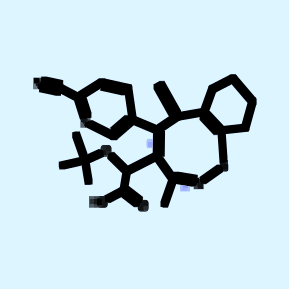 C=C1C2=C(CCCC2)S/N=C(C)\C(C(OC(C)(C)C)C(=O)O)=C/1c1ccc(C#N)nc1